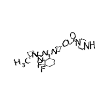 CC1CCN1c1nc(N2CC(OCC(=O)N3CCNCC3)C2)c2c(n1)C(F)(F)CCC2